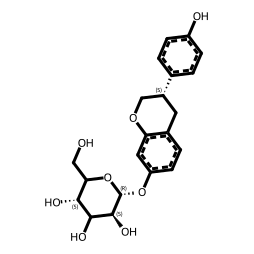 OCC1O[C@H](Oc2ccc3c(c2)OC[C@H](c2ccc(O)cc2)C3)[C@@H](O)C(O)[C@@H]1O